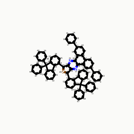 c1ccc(-c2ccc3c4ccc(-c5ccccc5)cc4c4nc5c(-c6cccc7c6-c6ccccc6C7(c6ccccc6)c6ccccc6)sc(-c6cccc7c6-c6ccccc6C7(c6ccccc6)c6ccccc6)c5nc4c3c2)cc1